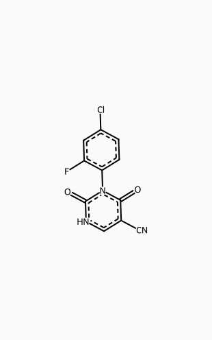 N#Cc1c[nH]c(=O)n(-c2ccc(Cl)cc2F)c1=O